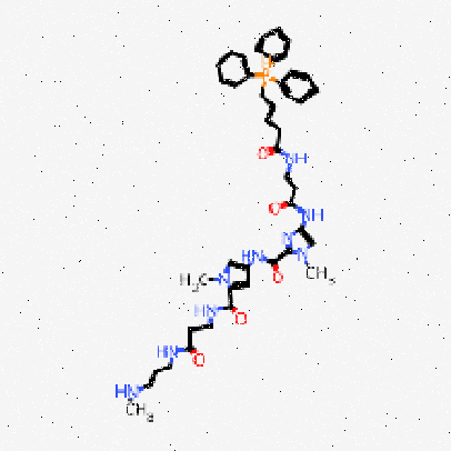 CNCCCNC(=O)CCNC(=O)c1cc(NC(=O)c2nc(NC(=O)CCNC(=O)CCCC[PH](C3=CCCC=C3)(c3ccccc3)c3ccccc3)cn2C)cn1C